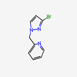 Brc1ccn(Cc2ccccn2)n1